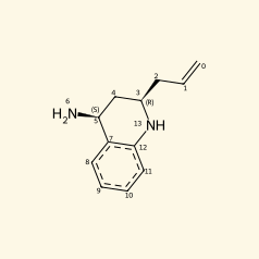 C=CC[C@@H]1C[C@H](N)c2ccccc2N1